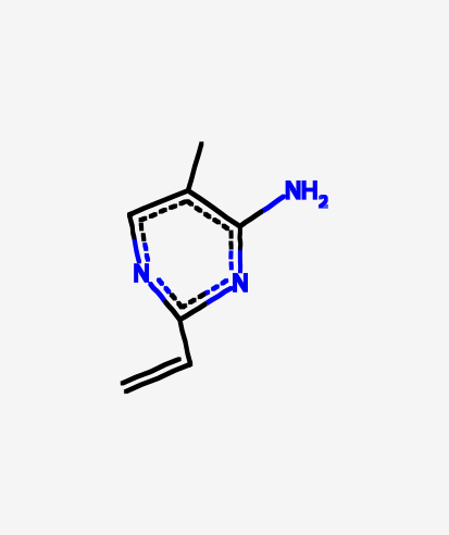 C=Cc1ncc(C)c(N)n1